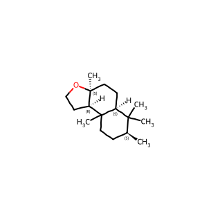 C[C@H]1CCC2(C)[C@H]3CCO[C@@]3(C)CC[C@H]2C1(C)C